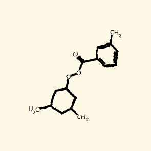 Cc1cccc(C(=O)OO[C]2CC(C)CC(C)C2)c1